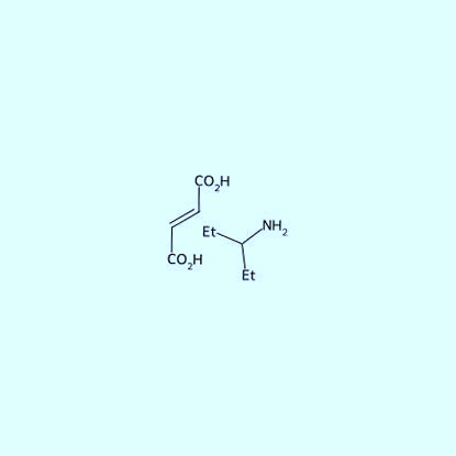 CCC(N)CC.O=C(O)C=CC(=O)O